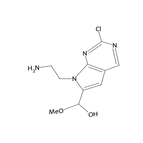 COC(O)c1cc2cnc(Cl)nc2n1CCN